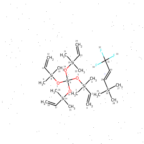 C=C[Si](C)(C)O[Si](O[Si](C)(C)C=C)(O[Si](C)(C)C=C)O[Si](C)(C)C=C.C[Si](C)(C)/C=C/C(F)(F)F